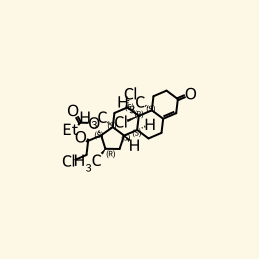 CCC(=O)O[C@@]1(C(=O)CCl)[C@H](C)C[C@H]2[C@@H]3CCC4=CC(=O)CC[C@]4(C)[C@@]3(Cl)[C@@H](Cl)C[C@@]21C